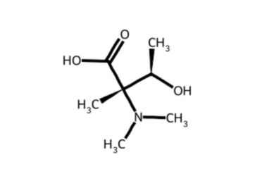 C[C@@H](O)[C@@](C)(C(=O)O)N(C)C